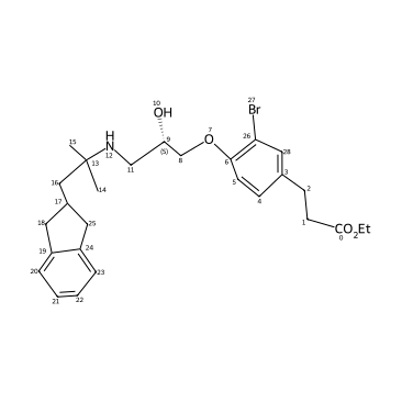 CCOC(=O)CCc1ccc(OC[C@@H](O)CNC(C)(C)CC2Cc3ccccc3C2)c(Br)c1